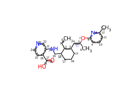 C=CC1=C(/C=C(\C)Oc2cccc(C)n2)CCCC1CNc1cnccc1C(=O)O